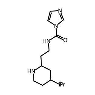 CC(C)C1CCNC(CCNC(=O)n2ccnc2)C1